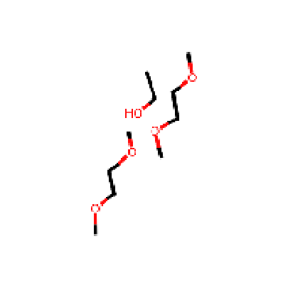 CCO.COCCOC.COCCOC